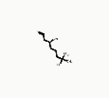 CC(C)(C)CCCC(O)CC=O